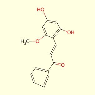 COc1cc(O)cc(O)c1/C=C/C(=O)c1ccccc1